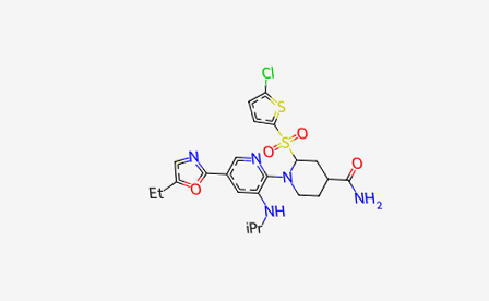 CCc1cnc(-c2cnc(N3CCC(C(N)=O)CC3S(=O)(=O)c3ccc(Cl)s3)c(NC(C)C)c2)o1